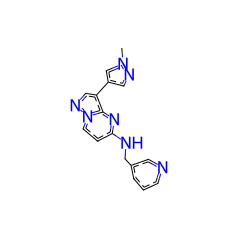 Cn1cc(-c2cnn3ccc(NCc4cccnc4)nc23)cn1